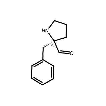 O=C[C@]1(Cc2ccccc2)CCCN1